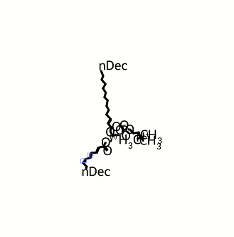 CCCCCCCCCCC/C=C\C=C\C=CC(=O)OC[C@H](COP(=O)([O-])OCC[N+](C)(C)C)OC(=O)C=CCCCCCCCCCCCCCCCCCCCCC